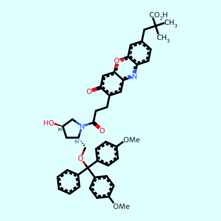 COc1ccc(C(OC[C@@H]2C[C@@H](O)CN2C(=O)CCc2cc3nc4ccc(CC(C)(C)C(=O)O)cc4oc-3cc2=O)(c2ccccc2)c2ccc(OC)cc2)cc1